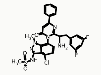 Cn1nc(NS(C)(=O)=O)c2c(Cl)ccc(-n3c(C(N)Cc4cc(F)cc(F)c4)nc(-c4ccccc4)cc3=O)c21